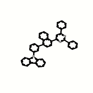 c1ccc(-c2cc(-c3ccc(-c4cccc(-n5c6ccccc6c6ccccc65)c4)c4ccccc34)nc(-c3ccccc3)n2)cc1